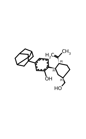 C=C(C)[C@@H]1CC[C@@H](CO)C[C@H]1c1ccc(C23CC4CC(CC(C4)C2)C3)cc1O